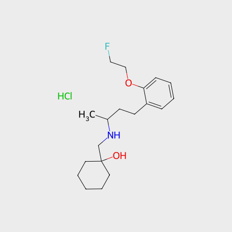 CC(CCc1ccccc1OCCF)NCC1(O)CCCCC1.Cl